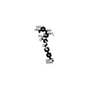 CCN(C(=O)[C@@H]1CCN(CC(=O)N2CC=C(c3ccc(C(=N)/N=C\NC)cc3)CC2)C1)c1ccc(N)c(C(=N)c2ccc(O)c(C(C)=N)c2)n1